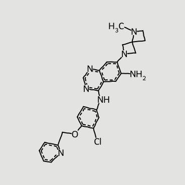 CN1CCC12CN(c1cc3ncnc(Nc4ccc(OCc5ccccn5)c(Cl)c4)c3cc1N)C2